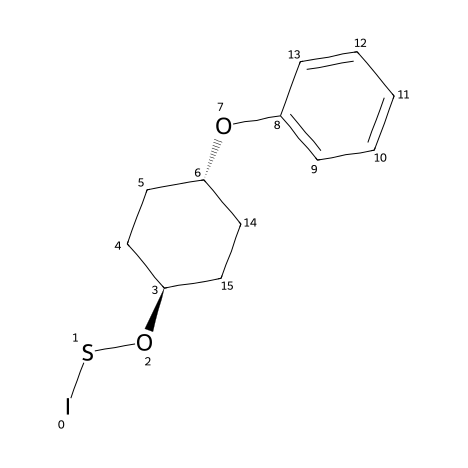 ISO[C@H]1CC[C@H](Oc2ccccc2)CC1